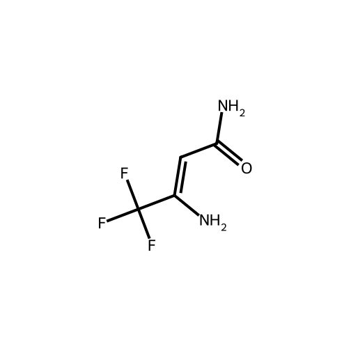 NC(=O)C=C(N)C(F)(F)F